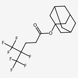 O=C(CCC(F)(C(F)(F)F)C(F)(F)F)OC12CC3CC(CC(C3)C1)C2